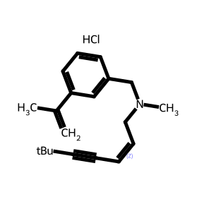 C=C(C)c1cccc(CN(C)C/C=C\C#CC(C)(C)C)c1.Cl